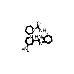 CN(C)c1ccnc(-c2nc3ccccc3[nH]2)c1.NC(=O)N1CCCCC1